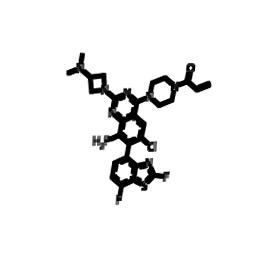 C=CC(=O)N1CCN(c2nc(N3CC(N(C)C)C3)nc3c(P)c(-c4ccc(F)c5sc(F)nc45)c(Cl)cc23)CC1